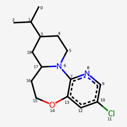 CC(C)C1CCN2c3ncc(Cl)cc3OCCC2C1